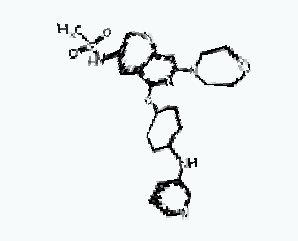 CS(=O)(=O)Nc1cnc2cc(N3CCOCC3)nc(OC3CCC(Nc4cccnc4)CC3)c2c1